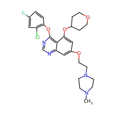 CN1CCN(CCOc2cc(OC3CCOCC3)c3c(Oc4ccc(F)cc4Cl)ncnc3c2)CC1